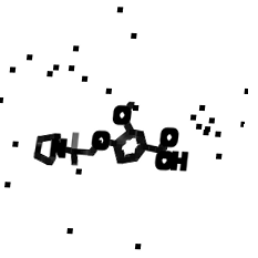 COc1cc(C(=O)O)ccc1OCC(C)(C)N1CCCC1